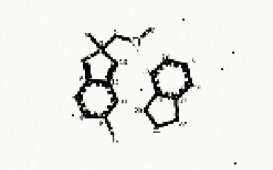 COCC1(C)C=c2ccc(C)cc2=C1.c1ccc2c(c1)CCC2